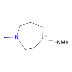 CN[C@H]1CCCN(C)CC1